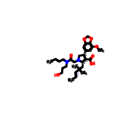 C/C=C/C(C)(C)C[C@H]1[C@H](C(=O)O)[C@@H](c2cc(OC)c3c(c2)OCO3)CN1CC(=O)N(CCCC)CCCO